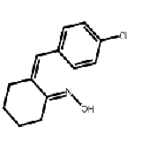 ON=C1CCCCC1=Cc1ccc(Cl)cc1